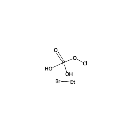 CCBr.O=P(O)(O)OCl